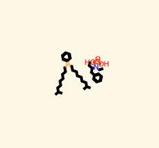 CC(C)CCCCCCCP(CCCCCCCC(C)C)c1ccccc1.CCC(Cc1ccccc1)N(CC)P(=O)(O)O